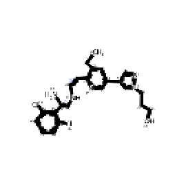 CCc1cc(-c2cnn(CCCO)c2)cnc1/C=C\N/C=C(\N)c1c(Cl)cccc1Cl